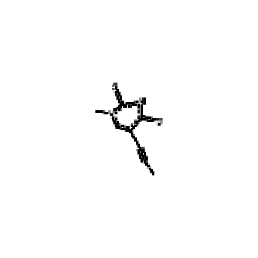 CC#Cc1cn(C)c(=S)[nH]c1=O